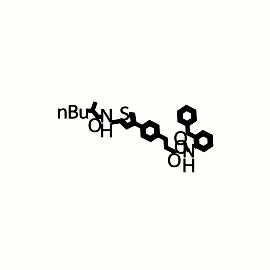 CCCCC(C)C(=O)NCc1cc(-c2ccc(CCC(=O)ONc3ccccc3C(=O)c3ccccc3)cc2)cs1